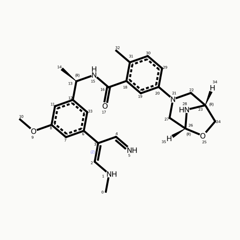 CN/C=C(\C=N)c1cc(OC)cc([C@@H](C)NC(=O)c2cc(N3C[C@@H]4CO[C@H](C3)N4)ccc2C)c1